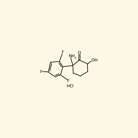 Cl.NC1(c2c(F)cc(F)cc2F)CCCC(O)C1=O